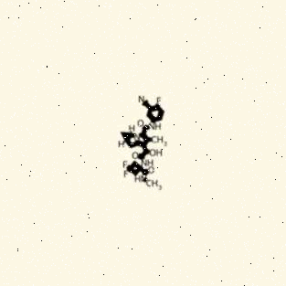 CNC(=O)C1(NC(=O)C(O)c2c(C)c(C(=O)Nc3ccc(F)c(C#N)c3)n3c2C[C@H]2C[C@H]23)CC(F)(F)C1